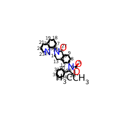 CC1(C)OC(=O)N(c2ccc3c(c2)CCN(c2cccc4cccnc24)C3=O)C1c1ccccc1